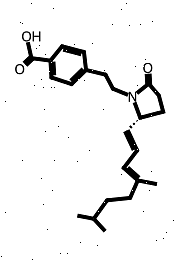 C/C(=C\C=C\[C@H]1CCC(=O)N1CCc1ccc(C(=O)O)cc1)CCC(C)C